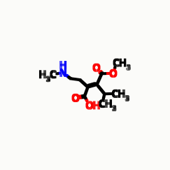 CNCCC(C(=O)O)=C(C(=O)OC)C(C)C